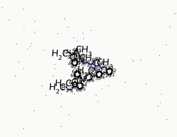 C=C/C=C\c1c(C)oc2c(N(C3=CC[C@H](c4ccc(-c5ccccc5/C=C/C=C(C=C)/C(/C=C\C)=C/C=C/N(C)c5cccc6c5OC(CC)=C(C=C)C6)cc4)C=C3)c3ccccc3)cccc12